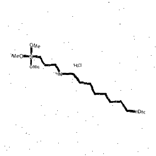 CCCCCCCCCCCCCCCCCCNCCC[Si](OC)(OC)OC.Cl